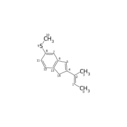 C/C=C(\C)C1=Cc2cc(SC)ccc2C1